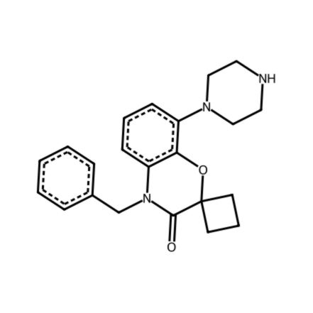 O=C1N(Cc2ccccc2)c2cccc(N3CCNCC3)c2OC12CCC2